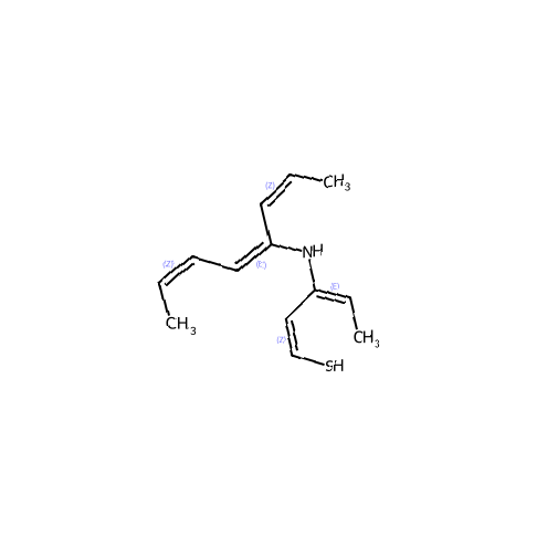 C\C=C/C=C(\C=C/C)NC(/C=C\S)=C/C